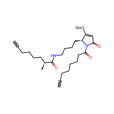 C#CCCCCCC(=O)N1C(=O)C=C(OC)[C@@H]1CCCCNC(=O)[C@@H](C)CCCCC#C